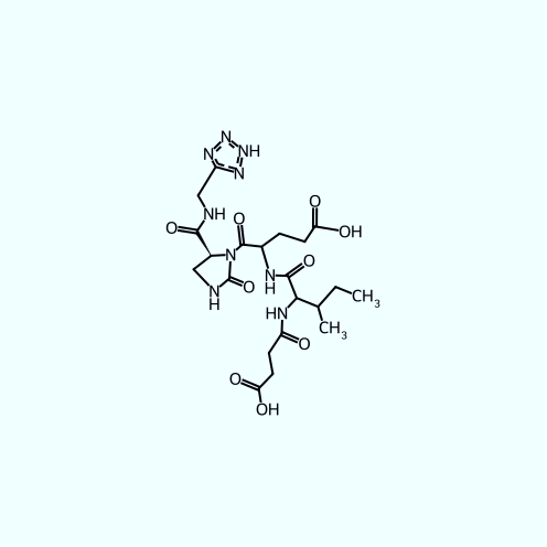 CCC(C)C(NC(=O)CCC(=O)O)C(=O)NC(CCC(=O)O)C(=O)N1C(=O)NC[C@H]1C(=O)NCc1nn[nH]n1